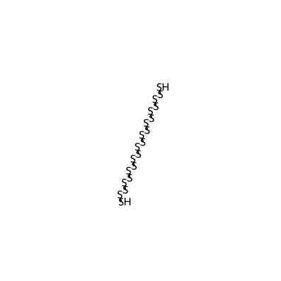 SSSSSSSSSSSSSSSSSSSS